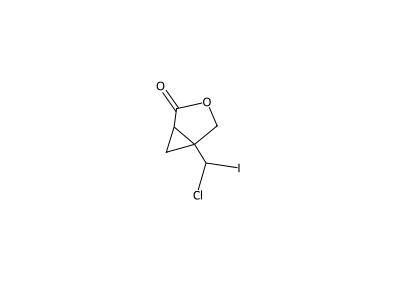 O=C1OCC2(C(Cl)I)CC12